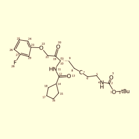 CC(C)(C)OC(=O)NCCCCC[C@H](NC(=O)C1CCCC1)C(=O)COc1cccc(F)c1